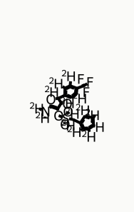 [2H]c1c([2H])c([2H])c(C([2H])([2H])S(=O)(=O)OC2=C(N([2H])[2H])OC([2H])(c3c([2H])c([2H])c(C(F)(F)F)c([2H])c3[2H])C2=O)c([2H])c1[2H]